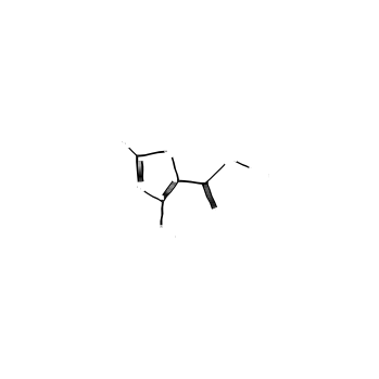 COC(=O)c1oc(N)nc1C